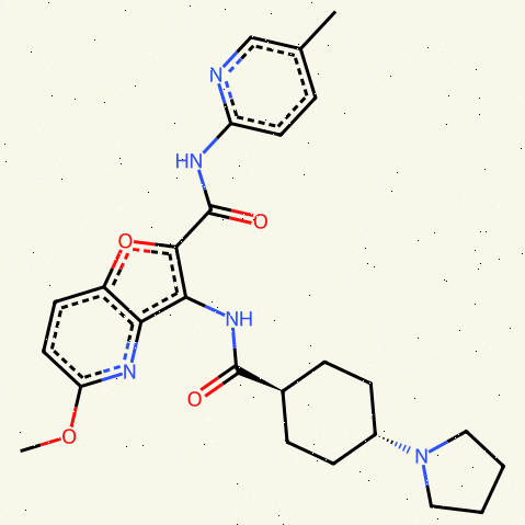 COc1ccc2oc(C(=O)Nc3ccc(C)cn3)c(NC(=O)[C@H]3CC[C@H](N4CCCC4)CC3)c2n1